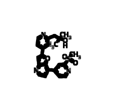 CC(C)(O)Cc1cc(-c2cc3nccc(-c4ccnc(S(C)(=O)=O)c4)c3o2)ccn1